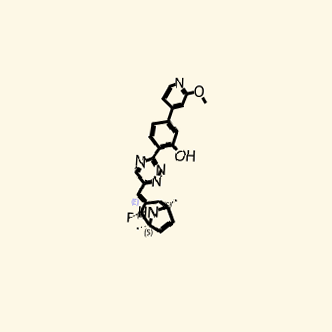 COc1cc(-c2ccc(-c3ncc(/C=C4\C[C@@]5(C)C=C[C@](C)(N5)[C@@H]4F)nn3)c(O)c2)ccn1